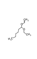 C=COC(CCCCC)OCC